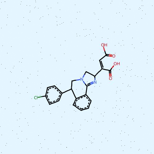 O=C(O)/C=C(\C(=O)O)C1CN2CC(c3ccc(Cl)cc3)c3ccccc3C2=N1